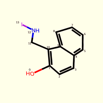 Oc1ccc2ccccc2c1CNI